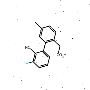 Cc1ccc(CC(=O)O)c(-c2cccc(F)c2C#N)c1